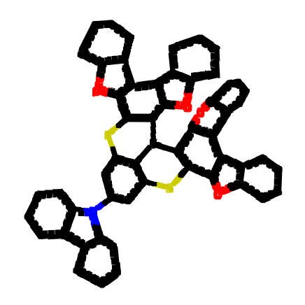 c1ccc2c(c1)oc1c3c(c4oc5ccccc5c4c12)B1c2c(cc(-n4c5ccccc5c5ccccc54)cc2Sc2c1c1oc4ccccc4c1c1c2oc2ccccc21)S3